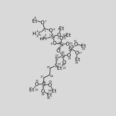 CCC[Si](OCC)(OC(C)OCC)O[Si]1(OCC)O[Si](OCC)(OCC)O[Si](OCC)(SSCCC[Si](OCC)(OCC)OCC)O1